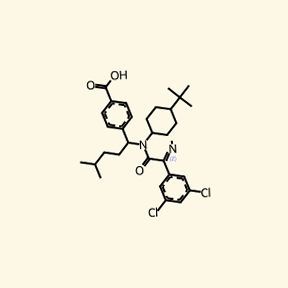 C/N=C(\C(=O)N(C1CCC(C(C)(C)C)CC1)C(CCC(C)C)c1ccc(C(=O)O)cc1)c1cc(Cl)cc(Cl)c1